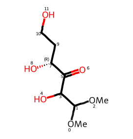 COC(OC)C(O)C(=O)[C@H](O)CCO